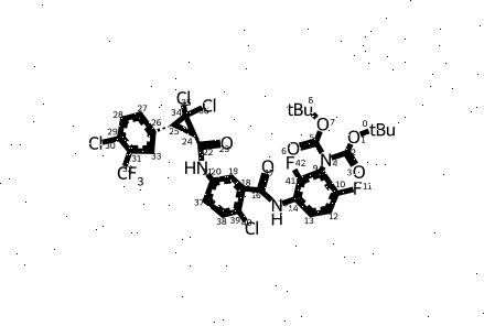 CC(C)(C)OC(=O)N(C(=O)OC(C)(C)C)c1c(F)ccc(NC(=O)c2cc(NC(=O)[C@H]3[C@H](c4ccc(Cl)c(C(F)(F)F)c4)C3(Cl)Cl)ccc2Cl)c1F